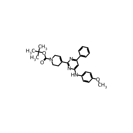 COc1ccc(Nc2cc(-c3ccccc3)nc(C3=CCN(C(=O)OC(C)(C)C)CC3)n2)cc1